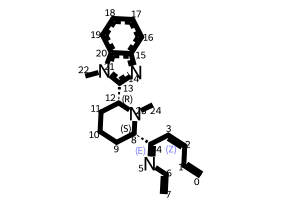 C=C/C=C\C(=N/C=C)[C@@H]1CCC[C@H](c2nc3ccccc3n2C)N1C